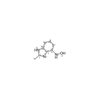 Cc1nc2c(NO)cccc2[nH]1